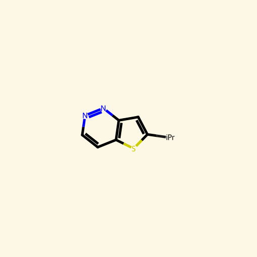 CC(C)c1cc2nnccc2s1